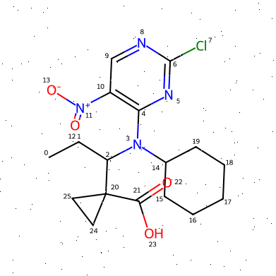 CCC(N(c1nc(Cl)ncc1[N+](=O)[O-])C1CCCCC1)C1(C(=O)O)CC1